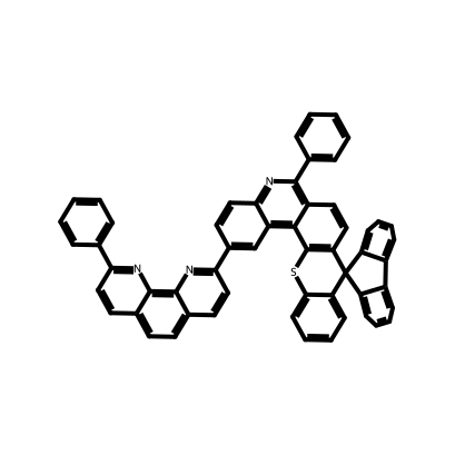 c1ccc(-c2ccc3ccc4ccc(-c5ccc6nc(-c7ccccc7)c7ccc8c(c7c6c5)Sc5ccccc5C85c6ccccc6-c6ccccc65)nc4c3n2)cc1